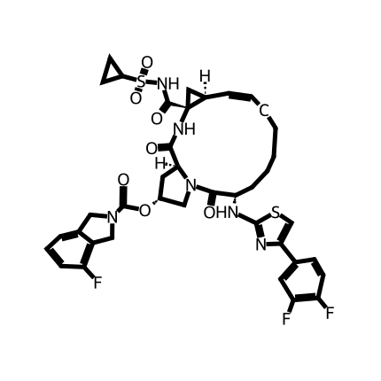 O=C1N[C@]2(C(=O)NS(=O)(=O)C3CC3)C[C@H]2/C=C\CCCCC[C@H](Nc2nc(-c3ccc(F)c(F)c3)cs2)C(=O)N2C[C@H](OC(=O)N3Cc4cccc(F)c4C3)C[C@@H]12